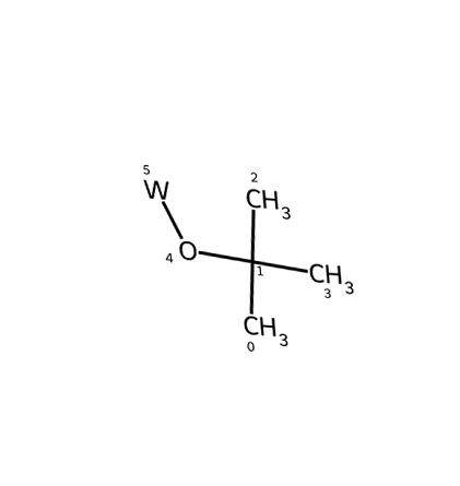 CC(C)(C)[O][W]